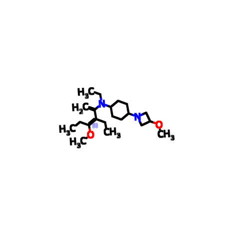 C=C(/C(CC)=C(\CC)OC)N(CC)C1CCC(N2CC(OC)C2)CC1